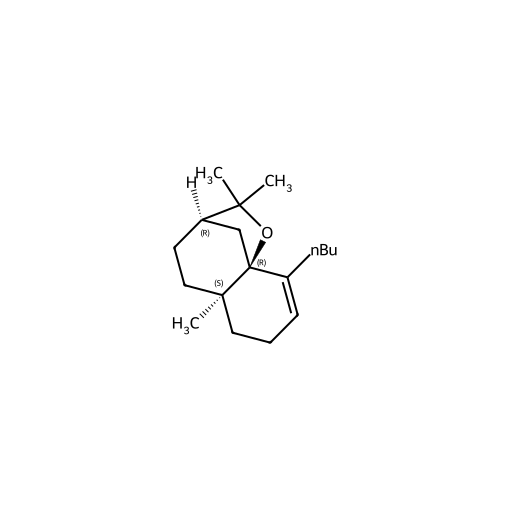 CCCCC1=CCC[C@@]2(C)CC[C@@H]3C[C@]12OC3(C)C